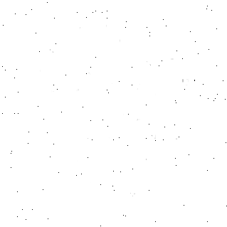 COc1cccc(F)c1CN1CCO[C@@H](C(=O)N(Cc2ccc3ncccc3c2)CC(C)C)C1